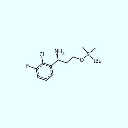 CC(C)(C)[Si](C)(C)OCC[C@H](N)c1cccc(F)c1Cl